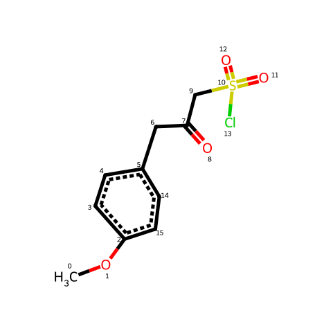 COc1ccc(CC(=O)CS(=O)(=O)Cl)cc1